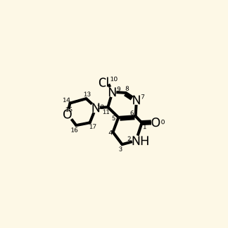 O=C1NCCC2=C1N=CN(Cl)C2N1CCOCC1